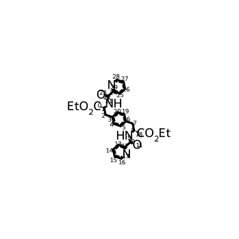 CCOC(=O)[C@@H](Cc1ccc(C[C@@H](NC(=O)c2ccccn2)C(=O)OCC)cc1)NC(=O)c1ccccn1